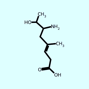 C/C(=C\CC(=O)O)CC(N)C(C)O